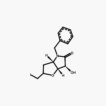 O=C1[C@@H](O)[C@@H]2OC(CI)C[C@@H]2N1Cc1ccccc1